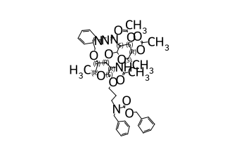 CC(=O)N[C@H]1[C@@H](OCCCN(Cc2ccccc2)C(=O)OCc2ccccc2)O[C@H](C)[C@@H](OCc2ccccc2)[C@@H]1OC1O[C@@H](C)[C@@H](OC(C)=O)[C@@H](OC(C)=O)[C@@H]1N=[N+]=[N-]